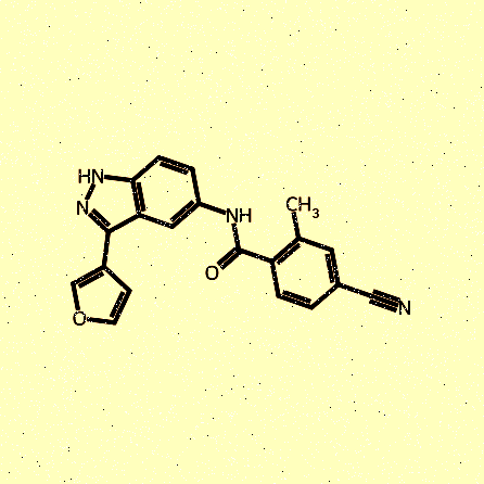 Cc1cc(C#N)ccc1C(=O)Nc1ccc2[nH]nc(-c3ccoc3)c2c1